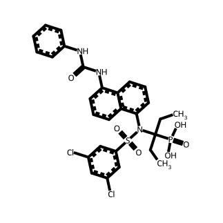 CCC(CC)(N(c1cccc2c(NC(=O)Nc3ccccc3)cccc12)S(=O)(=O)c1cc(Cl)cc(Cl)c1)P(=O)(O)O